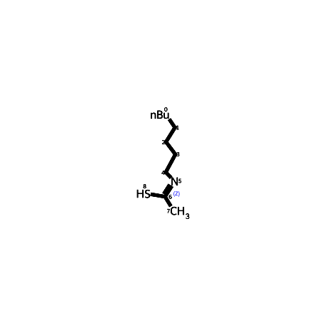 CCCCCCCC/N=C(/C)S